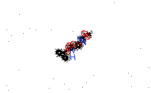 CC(C)(C)OC(=O)c1cnc(-c2ccc(C[C@H](NC(=O)OCC3c4ccccc4-c4ccccc43)C(=O)O)cc2)nc1